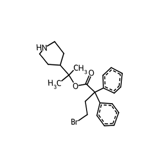 CC(C)(OC(=O)C(CCBr)(c1ccccc1)c1ccccc1)C1CCNCC1